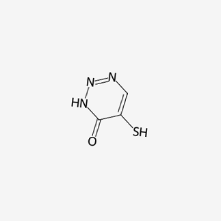 O=c1[nH]nncc1S